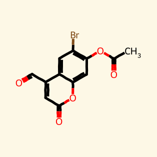 CC(=O)Oc1cc2oc(=O)cc(C=O)c2cc1Br